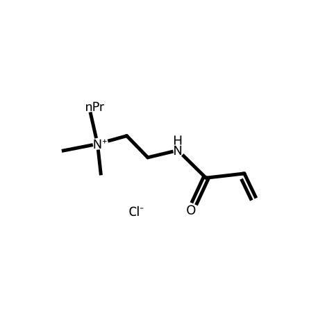 C=CC(=O)NCC[N+](C)(C)CCC.[Cl-]